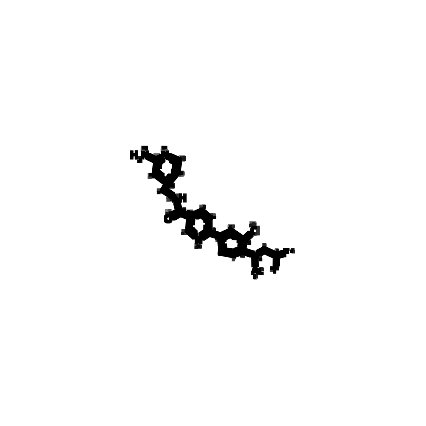 CC(=O)N(CC(F)F)c1ccc(-c2ccc(C(=O)NCc3ccnc(N)c3)cn2)cc1Cl